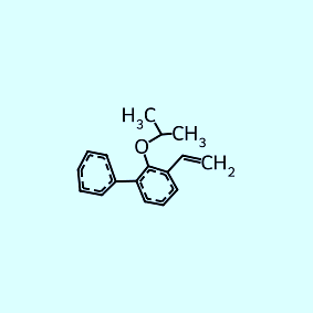 C=Cc1cccc(-c2ccccc2)c1OC(C)C